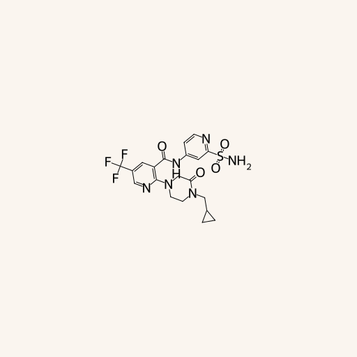 NS(=O)(=O)c1cc(NC(=O)c2cc(C(F)(F)F)cnc2N2CCN(CC3CC3)C(=O)C2)ccn1